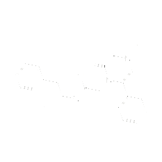 CC(=O)N1C=C(c2ccccc2)N(CC(=O)N[C@@H](Cc2ccccc2)C(=O)O)C(=O)C1C(C)C